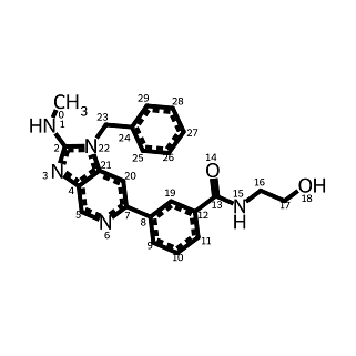 CNc1nc2cnc(-c3cccc(C(=O)NCCO)c3)cc2n1Cc1ccccc1